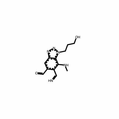 CNc1c(C=N)c(C=O)cc2nnn(CCCO)c12